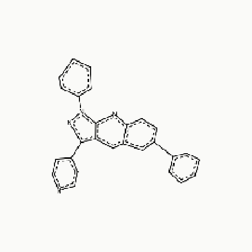 c1ccc(-c2ccc3nc4c(cc3c2)c(-c2ccncc2)nn4-c2ccccc2)cc1